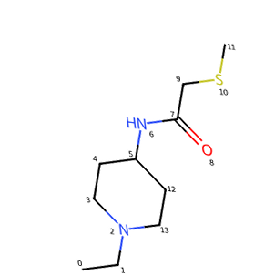 CCN1CCC(NC(=O)CSC)CC1